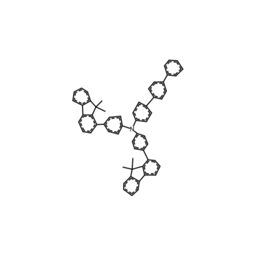 CC1(C)c2ccccc2-c2cccc(-c3ccc(N(c4ccc(-c5ccc(-c6ccccc6)cc5)cc4)c4ccc(-c5cccc6c5C(C)(C)c5ccccc5-6)cc4)cc3)c21